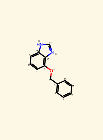 c1ccc(COc2cccc3[nH]cnc23)cc1